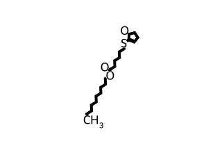 CCCCCCCCCCOC(=O)CCCCCSC1=CCCC1=O